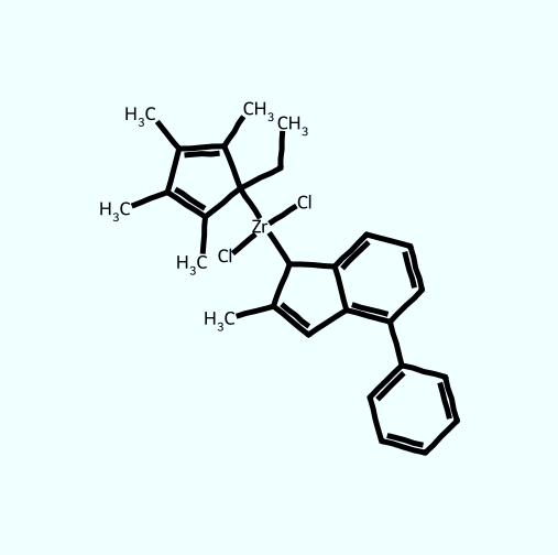 CC[C]1([Zr]([Cl])([Cl])[CH]2C(C)=Cc3c(-c4ccccc4)cccc32)C(C)=C(C)C(C)=C1C